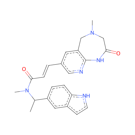 CC(c1ccc2[nH]ccc2c1)N(C)C(=O)/C=C/c1cnc2c(c1)CN(C)CC(=O)N2